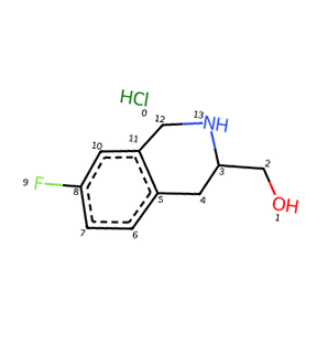 Cl.OCC1Cc2ccc(F)cc2CN1